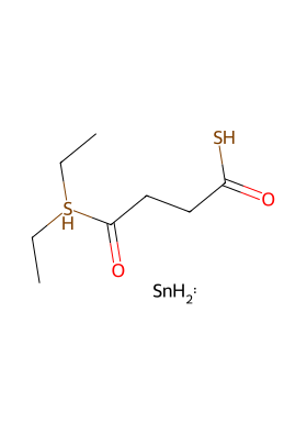 CC[SH](CC)C(=O)CCC(=O)S.[SnH2]